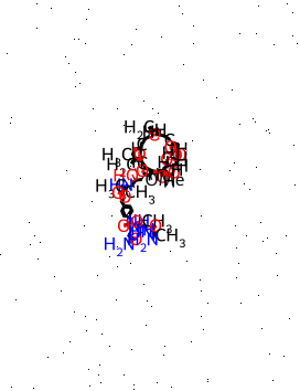 C=C1C[C@@H]2CC[C@@]34C[C@H]5O[C@@H]6C(O[C@H]7CC[C@H](CC(=O)C[C@H]8C(C[C@H]9O[C@@H](CC[C@@H]1O2)C[C@@H](C)C9=C)O[C@H](C[C@H](O)CNC(C)(C)C(=O)OCc1ccc(NC(=O)[C@H](CC(N)=O)NC(=O)[C@H](C)NC(=O)[C@H](C)N)cc1)[C@@H]8OC)O[C@@H]7[C@@H]6O3)[C@@H]5O4